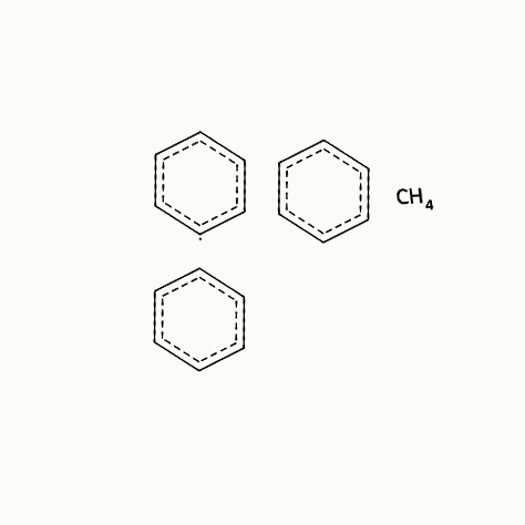 C.[c]1ccccc1.c1ccccc1.c1ccccc1